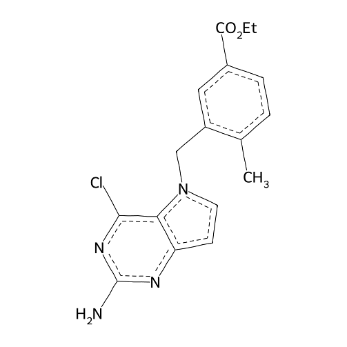 CCOC(=O)c1ccc(C)c(Cn2ccc3nc(N)nc(Cl)c32)c1